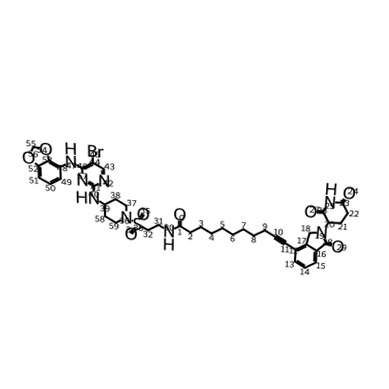 O=C(CCCCCCCCC#Cc1cccc2c1CN(C1CCC(=O)NC1=O)C2=O)NCCS(=O)(=O)N1CCC(Nc2ncc(Br)c(Nc3cccc4c3OCO4)n2)CC1